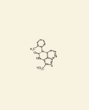 Cc1ccccc1N1C(=O)Nc2c(C(=O)O)sc3nccc1c23